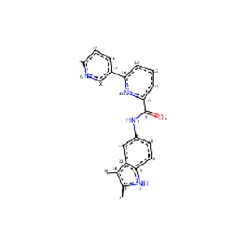 Cc1[nH]c2ccc(NC(=O)c3cccc(-c4cccnc4)n3)cc2c1C